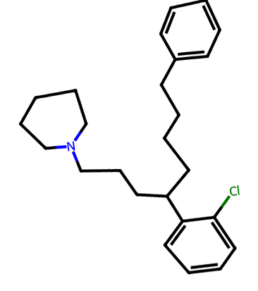 Clc1ccccc1C(CCCCc1ccccc1)CCCN1CCCCC1